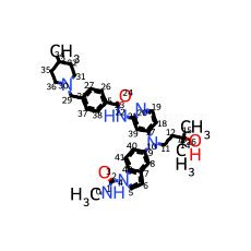 CNC(=O)n1ccc2cc(N(CCC(C)(C)O)c3ccnc(NC(=O)c4ccc(CN5CCC(C)CC5)cc4)c3)ccc21